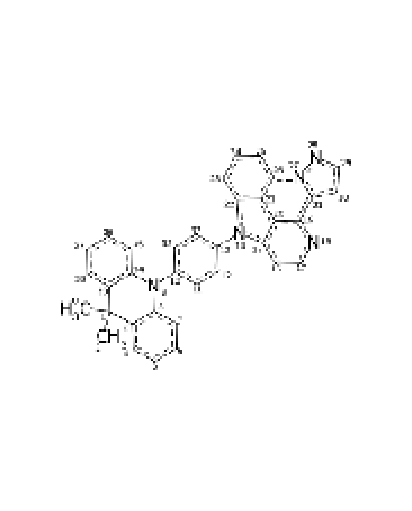 CC1(C)c2ccccc2N(c2ccc(-n3c4ccnc5c4c4c3cccc4n3nccc53)cc2)c2ccccc21